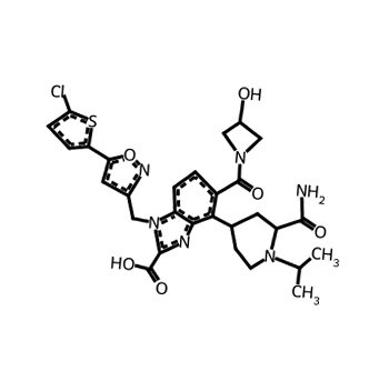 CC(C)N1CCC(c2c(C(=O)N3CC(O)C3)ccc3c2nc(C(=O)O)n3Cc2cc(-c3ccc(Cl)s3)on2)CC1C(N)=O